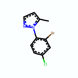 Cc1[c]cnn1-c1ccc(Cl)cc1Br